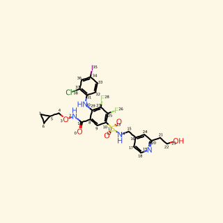 O=C(NOCC1CC1)c1cc(S(=O)(=O)NCc2ccnc(CCO)c2)c(F)c(F)c1Nc1ccc(I)cc1Cl